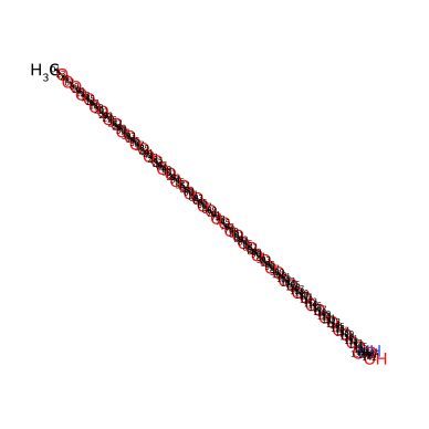 CCCOCCOCCOCCOCCOCCOCCOCCOCCOCCOCCOCCOCCOCCOCCOCCOCCOCCOCCOCCOCCOCCOCCOCCOCCOCCOCCOCCOCCOCCOCCOCCOCCOCCOCCOCCOCCOCCOCCOCCOCCOCCOCCOCCOCCOC(=O)NCC(=O)O